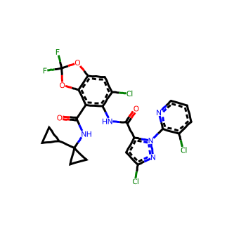 O=C(NC1(C2CC2)CC1)c1c(NC(=O)c2cc(Cl)nn2-c2ncccc2Cl)c(Cl)cc2c1OC(F)(F)O2